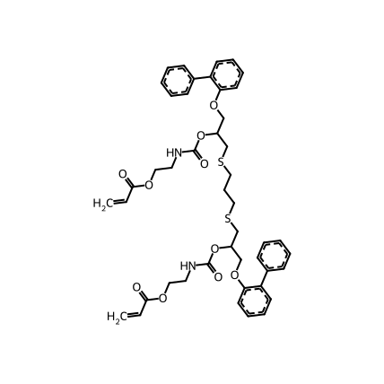 C=CC(=O)OCCNC(=O)OC(COc1ccccc1-c1ccccc1)CSCCCSCC(COc1ccccc1-c1ccccc1)OC(=O)NCCOC(=O)C=C